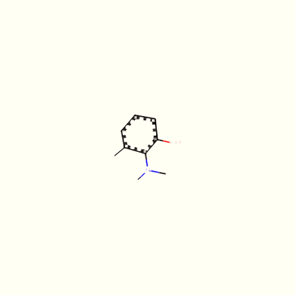 Cc1cccc(O)c1N(C)C